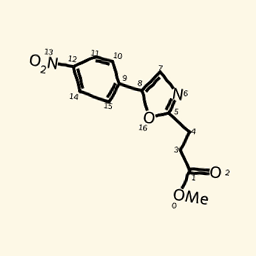 COC(=O)CCc1ncc(-c2ccc([N+](=O)[O-])cc2)o1